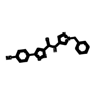 N#Cc1ccc(-c2cc(C(=O)Nc3cnn(Cc4ccccc4)c3)no2)cc1